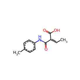 CC=C(C(=O)O)C(=O)Nc1ccc(C)cc1